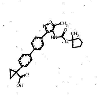 Cc1onc(-c2ccc(-c3ccc(C4(C(=O)O)CC4)cc3)cc2)c1NC(=O)OC1(C)CCCC1